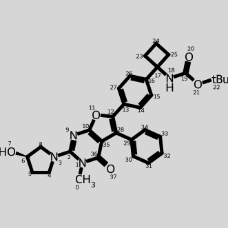 Cn1c(N2CC[C@@H](O)C2)nc2oc(-c3ccc(C4(NC(=O)OC(C)(C)C)CCC4)cc3)c(-c3ccccc3)c2c1=O